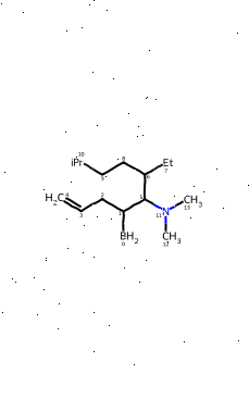 BC(CC=C)C(C(CC)CCC(C)C)N(C)C